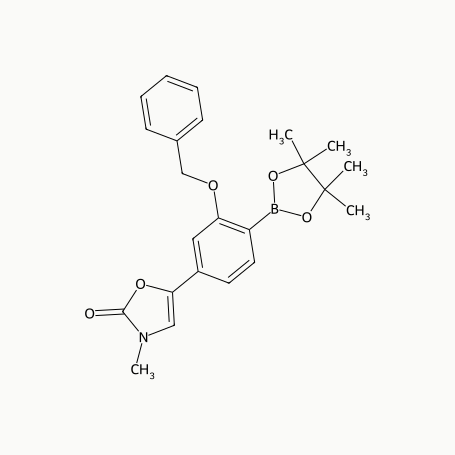 Cn1cc(-c2ccc(B3OC(C)(C)C(C)(C)O3)c(OCc3ccccc3)c2)oc1=O